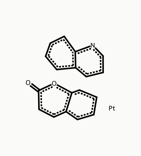 O=c1ccc2ccccc2o1.[Pt].c1ccc2ncccc2c1